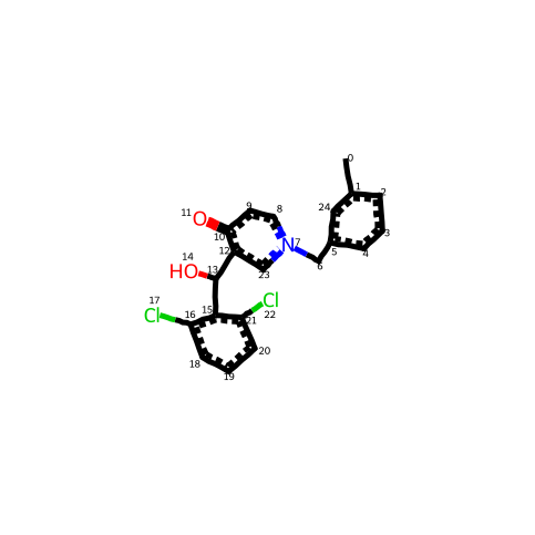 Cc1cccc(Cn2ccc(=O)c(C(O)c3c(Cl)cccc3Cl)c2)c1